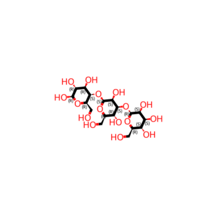 OC[C@H]1O[C@H](O[C@@H]2[C@H](O)[C@H](O[C@H]3[C@H](O)[C@@H](O)[C@H](O)O[C@@H]3CO)O[C@H](CO)[C@H]2O)[C@@H](O)[C@@H](O)[C@@H]1O